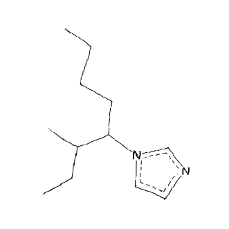 CCCCC(C(C)CC)n1ccnc1